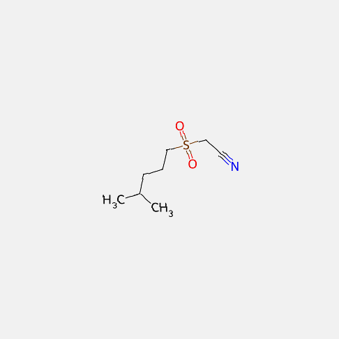 CC(C)CCCS(=O)(=O)CC#N